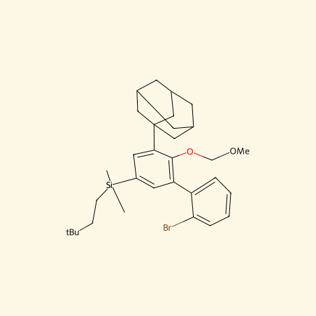 COCOc1c(-c2ccccc2Br)cc([Si](C)(C)CCC(C)(C)C)cc1C12CC3CC(CC(C3)C1)C2